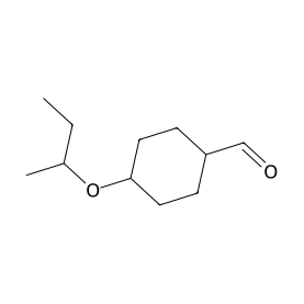 CCC(C)OC1CCC(C=O)CC1